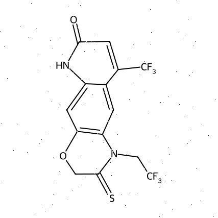 O=c1cc(C(F)(F)F)c2cc3c(cc2[nH]1)OCC(=S)N3CC(F)(F)F